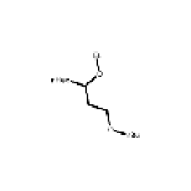 [CH2]CCCOCCC(CCCCCC)OCC